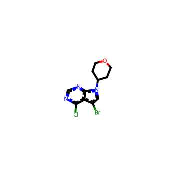 Clc1ncnc2c1c(Br)cn2C1CCOCC1